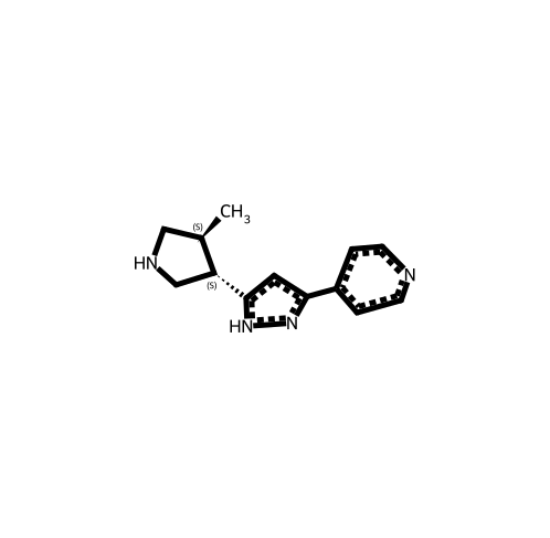 C[C@@H]1CNC[C@H]1c1cc(-c2ccncc2)n[nH]1